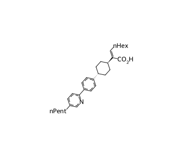 CCCCCCC=C(C(=O)O)[C@H]1CC[C@H](c2ccc(-c3ccc(CCCCC)cn3)cc2)CC1